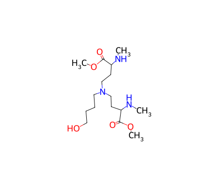 CNC(CCN(CCCCO)CCC(NC)C(=O)OC)C(=O)OC